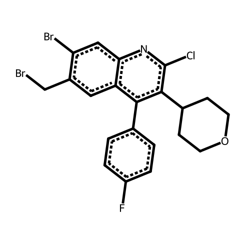 Fc1ccc(-c2c(C3CCOCC3)c(Cl)nc3cc(Br)c(CBr)cc23)cc1